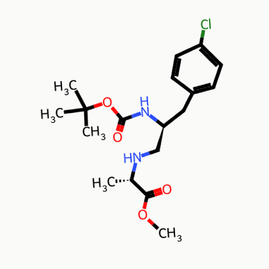 COC(=O)[C@H](C)NC[C@H](Cc1ccc(Cl)cc1)NC(=O)OC(C)(C)C